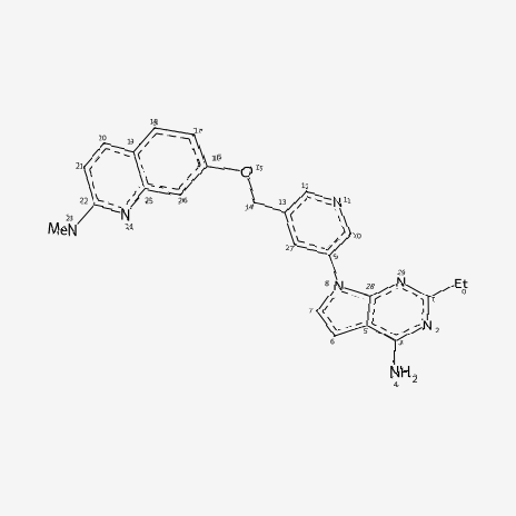 CCc1nc(N)c2ccn(-c3cncc(COc4ccc5ccc(NC)nc5c4)c3)c2n1